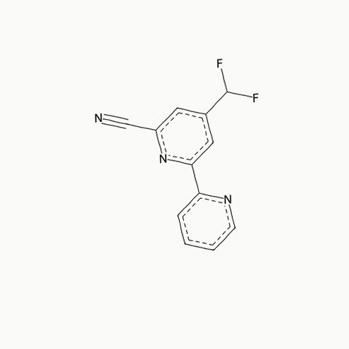 N#Cc1cc(C(F)F)cc(-c2ccccn2)n1